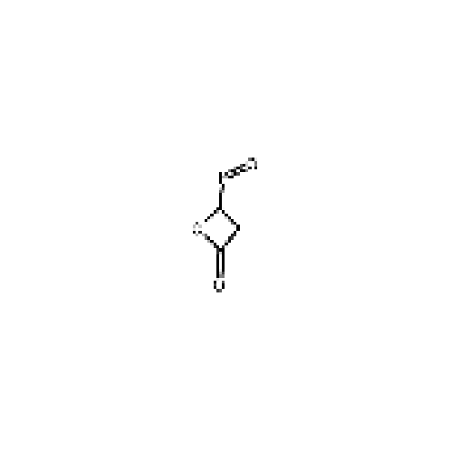 O=PC1CC(=O)O1